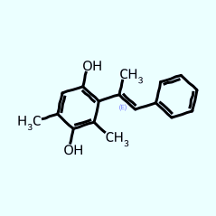 C/C(=C\c1ccccc1)c1c(O)cc(C)c(O)c1C